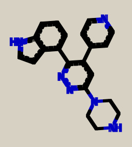 c1cc(-c2nnc(N3CCNCC3)cc2-c2ccncc2)c2cc[nH]c2c1